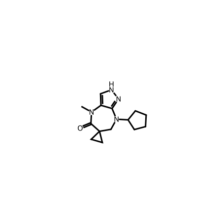 CN1C(=O)C2(CC2)CN(C2CCCC2)c2n[nH]cc21